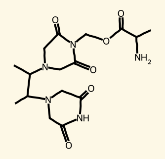 CC(N)C(=O)OCN1C(=O)CN(C(C)C(C)N2CC(=O)NC(=O)C2)CC1=O